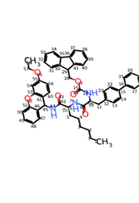 CCCCCC[C@H](NC(=O)[C@H](Cc1ccc(-c2ccccc2)cc1)NC(=O)OCC1c2ccccc2-c2ccccc21)C(=O)NC1c2ccccc2Oc2cc(OCC)ccc21